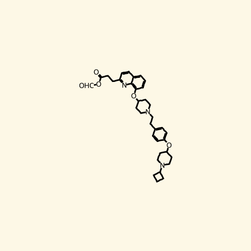 O=COC(=O)CCc1ccc2cccc(OC3CCN(CCc4ccc(OC5CCN(C6CCC6)CC5)cc4)CC3)c2n1